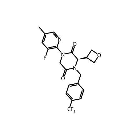 Cc1cnc(N2CC(=O)N(Cc3ccc(C(F)(F)F)cc3)[C@H](C3COC3)C2=O)c(F)c1